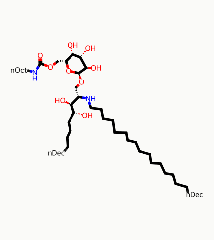 CCCCCCCCCCCCCCCCCCCCCCCCCCN[C@@H](CO[C@H]1O[C@H](COC(=O)NCCCCCCCC)[C@H](O)[C@H](O)[C@H]1O)[C@H](O)[C@H](O)CCCCCCCCCCCCCC